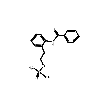 CP(C)(=O)OCCc1ccccc1NC(=O)c1ccccc1